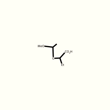 CCC(OC(C)OC)C(=O)O